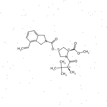 C=Cc1cccc2c1CN(C(=O)O[C@@H]1C[C@@H](C(=O)OC)N(C(=O)[C@@H](C)C(C)(C)C)C1)C2